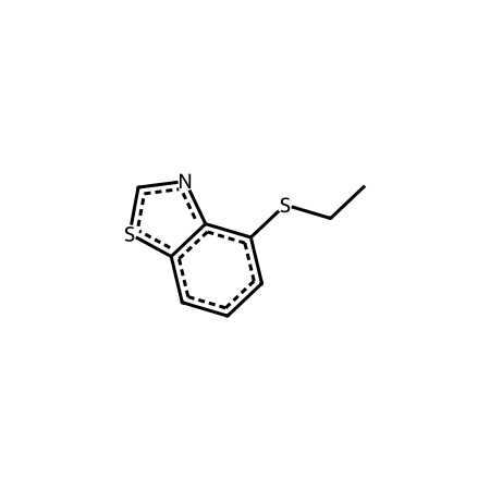 CCSc1cccc2scnc12